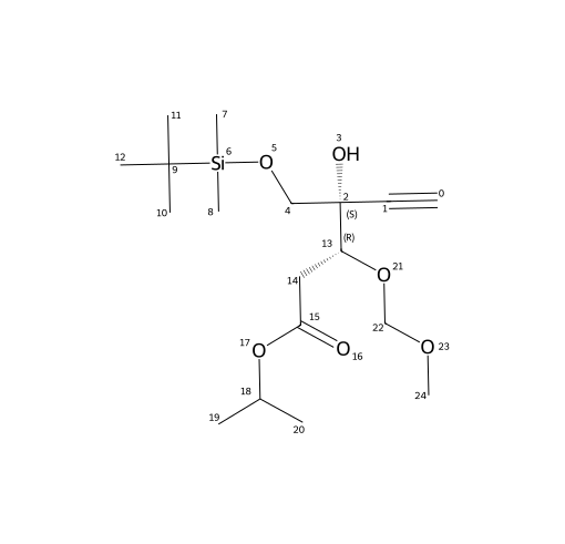 C#C[C@](O)(CO[Si](C)(C)C(C)(C)C)[C@@H](CC(=O)OC(C)C)OCOC